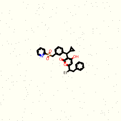 CCC(Cc1ccccc1)c1cc(O)c(C(c2cccc(CS(=O)(=O)c3ccccn3)c2)C2CC2)c(=O)o1